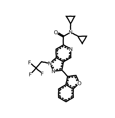 O=C(c1cc2c(cn1)c(-c1coc3ccccc13)nn2CC(F)(F)F)N(C1CC1)C1CC1